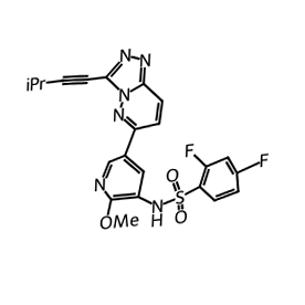 COc1ncc(-c2ccc3nnc(C#CC(C)C)n3n2)cc1NS(=O)(=O)c1ccc(F)cc1F